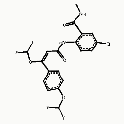 CNC(=O)c1cc(Cl)ccc1NC(=O)/C=C(/OC(F)F)c1ccc(OC(F)F)cc1